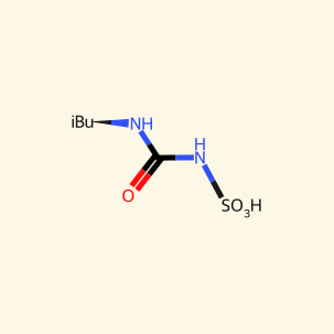 CC[C@H](C)NC(=O)NS(=O)(=O)O